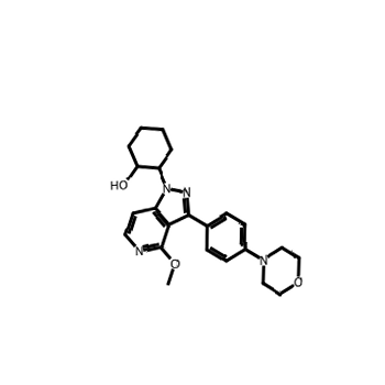 COc1nccc2c1c(-c1ccc(N3CCOCC3)cc1)nn2C1CCCCC1O